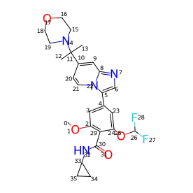 COc1cc(-c2cnc3cc(C(C)(C)N4CCOCC4)ccn23)cc(OC(F)F)c1C(=O)NC1CC1